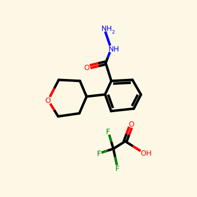 NNC(=O)c1ccccc1C1CCOCC1.O=C(O)C(F)(F)F